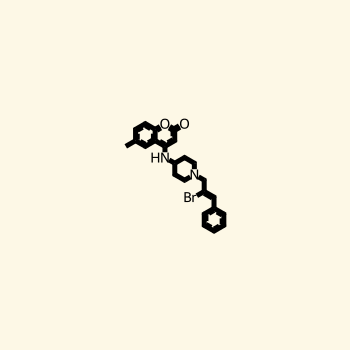 Cc1ccc2oc(=O)cc(NC3CCN(CC(Br)=Cc4ccccc4)CC3)c2c1